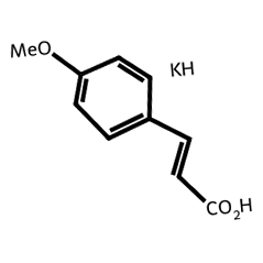 COc1ccc(C=CC(=O)O)cc1.[KH]